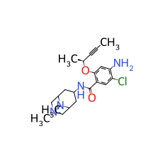 CC#C[C@H](C)Oc1cc(N)c(Cl)cc1C(=O)NC1CC2CN(C)CC(C1)N2C